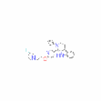 FC1CCN(CCOc2ccc([C@@H]3c4[nH]c5ccccc5c4CCN3C34CC(C3)C4)cn2)C1